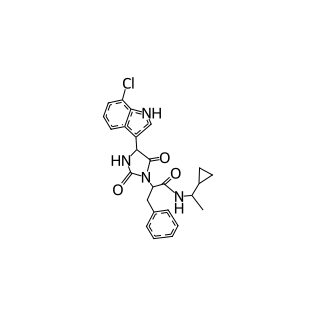 CC(NC(=O)C(Cc1ccccc1)N1C(=O)NC(c2c[nH]c3c(Cl)cccc23)C1=O)C1CC1